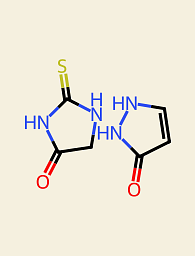 O=C1CNC(=S)N1.O=c1cc[nH][nH]1